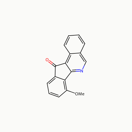 COc1cccc2c1-c1ncc3ccccc3c1C2=O